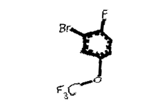 Fc1ccc(OC(F)(F)F)cc1Br